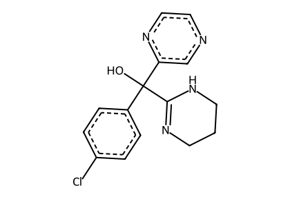 OC(C1=NCCCN1)(c1ccc(Cl)cc1)c1cnccn1